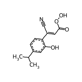 CC(C)c1ccc(C(C#N)=CC(=O)OO)c(O)c1